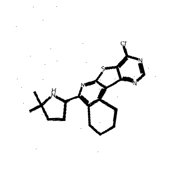 CC1(C)CCC(c2nc3sc4c(Cl)ncnc4c3c3c2CCCC3)N1